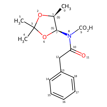 C[C@@H]1OC(C)(C)O[C@@H]1N(C(=O)O)C(=O)Cc1ccccc1